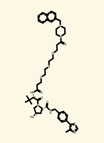 Cc1ncsc1-c1ccc(CNC(=O)[C@@H]2C[C@@H](O)CN2C(=O)[C@@H](NC(=O)CCOCCOCCOCCC(=O)N2CCN(Cc3ccc4ccccc4c3)CC2)C(C)(C)C)cc1